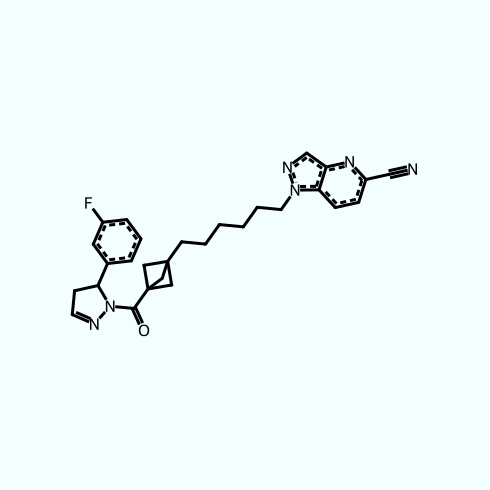 N#Cc1ccc2c(cnn2CCCCCCC23CC(C(=O)N4N=CCC4c4cccc(F)c4)(C2)C3)n1